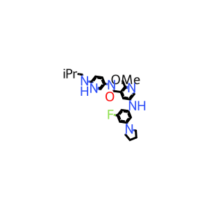 CON(C(=O)c1cc(Nc2cc(F)cc(N3CCCC3)c2)cnc1C)c1ccc(NCC(C)C)nc1